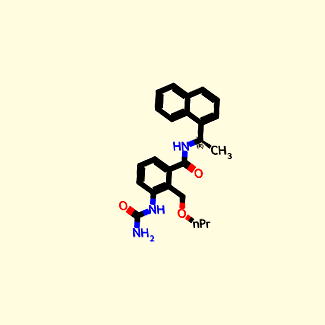 CCCOCc1c(NC(N)=O)cccc1C(=O)N[C@H](C)c1cccc2ccccc12